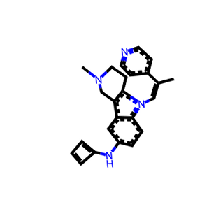 C/C(=C/n1c2c(c3cc(NC4=CC=C4)ccc31)CN(C)CC2)c1ccncc1